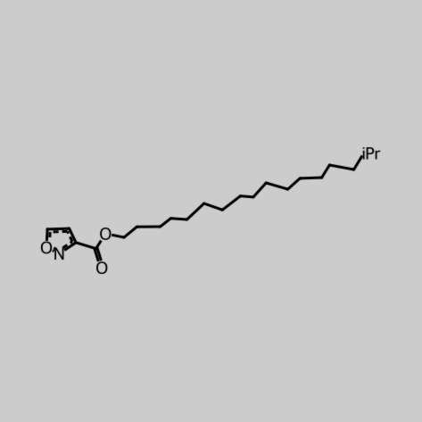 CC(C)CCCCCCCCCCCCCCCOC(=O)c1ccon1